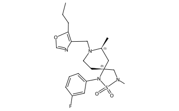 CCCc1ocnc1CN1CC[C@@]2(C[C@@H]1C)CN(C)S(=O)(=O)N2c1cccc(F)c1